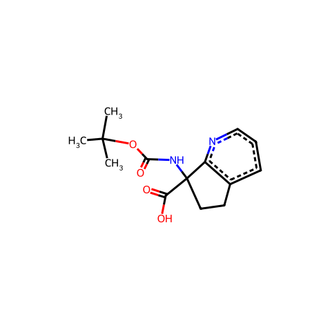 CC(C)(C)OC(=O)NC1(C(=O)O)CCc2cccnc21